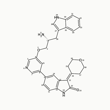 N[C@@H](COc1cncc(-c2ccc3c(c2)C(=C2CCOCC2)C(=O)N3)c1)Cc1c[nH]c2ccccc12